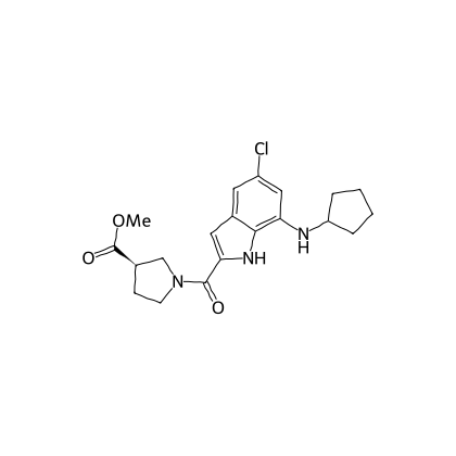 COC(=O)[C@@H]1CCN(C(=O)c2cc3cc(Cl)cc(NC4CCCC4)c3[nH]2)C1